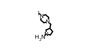 NN1CCC(CN2CCN(I)CC2)C1